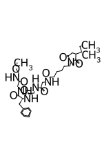 CCC(C)C1CC(=O)N(CCCCCC(=O)NCC(=O)NCC(=O)N[C@@H](Cc2ccccc2)C(=O)NCC(=O)NCOC)C1=O